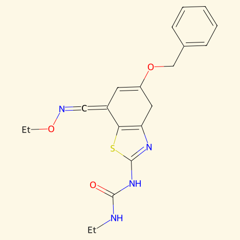 CCNC(=O)Nc1nc2c(s1)C(=C=NOCC)C=C(OCc1ccccc1)C2